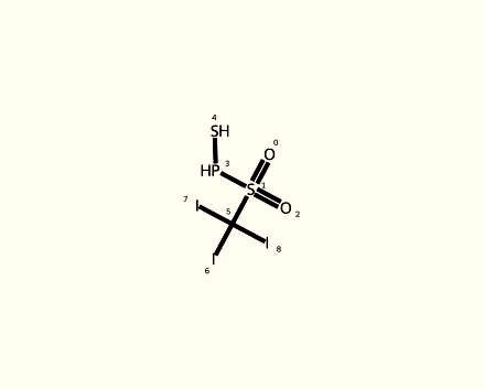 O=S(=O)(PS)C(I)(I)I